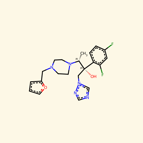 C[C@@H](N1CCN(Cc2ccco2)CC1)[C@](O)(Cn1cncn1)c1ccc(F)cc1F